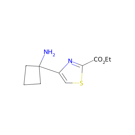 CCOC(=O)c1nc(C2(N)CCC2)cs1